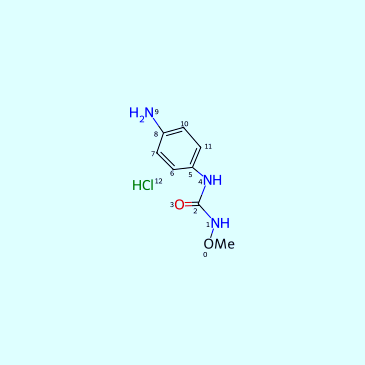 CONC(=O)Nc1ccc(N)cc1.Cl